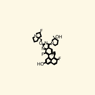 C#Cc1c(F)ccc2cc(O)cc(-c3c(F)cc4c(N5CCC[C@@](C)(O)C5)nc(OC[C@@]56CCCN5C[C@H](F)C6)nc4c3F)c12